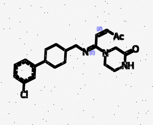 CC(=O)/C=C\C(=N/CC1CCC(c2cccc(Cl)c2)CC1)N1CCNC(=O)C1